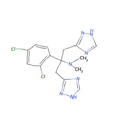 CN(C)C(Cc1nc[nH]n1)(Cc1nc[nH]n1)c1ccc(Cl)cc1Cl